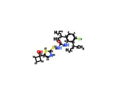 CC(C)c1ccc(F)c(C(C)C)c1NC(=O)NSc1ncc(C2(O)CCC2)s1